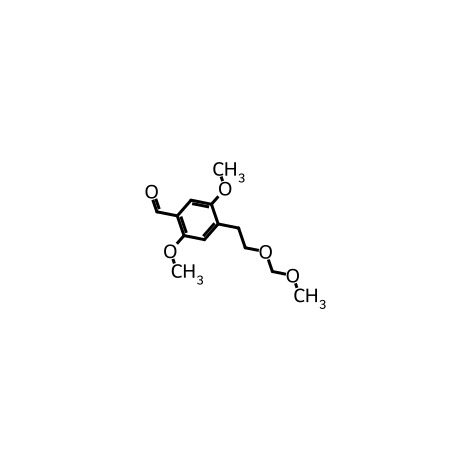 COCOCCc1cc(OC)c(C=O)cc1OC